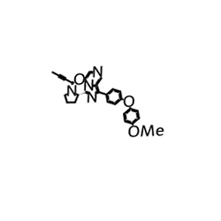 CC#CC(=O)N1CCC[C@H]1c1nc(-c2ccc(Oc3ccc(OC)cc3)cc2)c2cnccn12